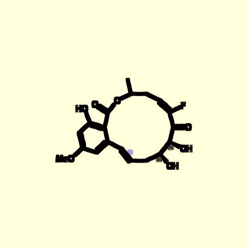 COc1cc(O)c2c(c1)/C=C/C[C@H](O)[C@H](O)C(=O)C(F)=CCC(C)OC2=O